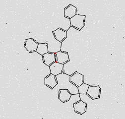 c1ccc(C2(c3ccccc3)c3ccccc3-c3ccc(N(c4ccc(-c5cccc(-c6cccc7ccccc67)c5)cc4)c4ccccc4-c4ccc5sc6ccccc6c5c4)cc32)cc1